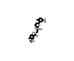 Cc1ccc(N(C)C)cc1-c1ccc2nc(CNC(=O)c3ccc(C)c(S(C)(=O)=O)c3)[nH]c2n1